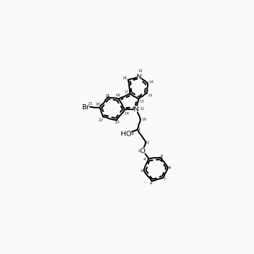 OC(COc1ccccc1)Cn1c2ccncc2c2cc(Br)ccc21